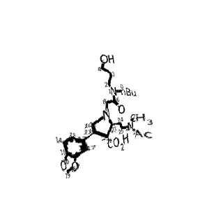 CCCCN(CCCO)C(=O)CN1C[C@H](c2ccc3c(c2)OCO3)[C@@H](C(=O)O)[C@@H]1CCN(C)C(C)=O